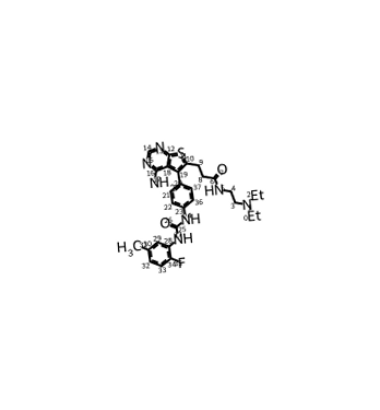 CCN(CC)CCNC(=O)CCc1sc2ncnc(N)c2c1-c1ccc(NC(=O)Nc2cc(C)ccc2F)cc1